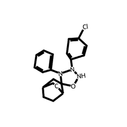 Clc1ccc(N2NOC3(CC4CCC3CC4)N2c2ccccc2)cc1